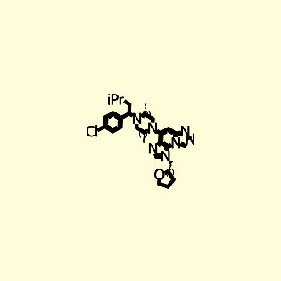 CC(C)CC(c1ccc(Cl)cc1)N1C[C@H](C)N(c2cc3nncn3c3c2ncn3C[C@@H]2CCCO2)C[C@H]1C